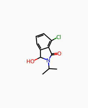 CC(C)N1C(=O)c2c(Cl)cccc2C1O